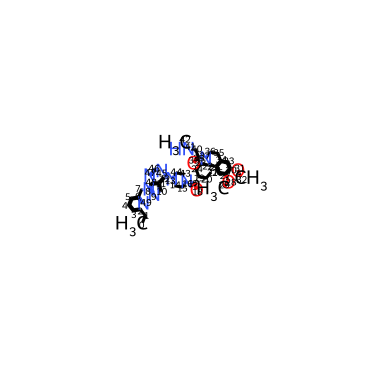 CCc1cccc(Cn2ncc3c(N4CCN(C(=O)[C@H]5CC[C@@]6(CC5)c5cc(OC)c(OC)cc5CCN6C(=O)CNC)CC4)ncnc32)n1